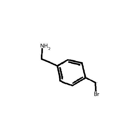 NCc1ccc([CH]Br)cc1